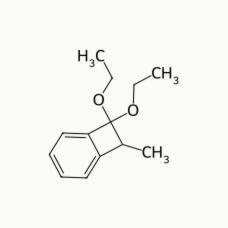 CCOC1(OCC)c2ccccc2C1C